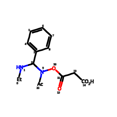 CCNC(c1ccccc1)N(OC(=O)CC(=O)O)C(C)=O